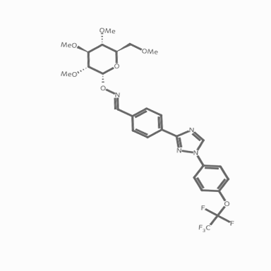 COC[C@H]1O[C@H](O/N=C/c2ccc(-c3ncn(-c4ccc(OC(F)(F)C(F)(F)F)cc4)n3)cc2)[C@H](OC)[C@@H](OC)[C@@H]1OC